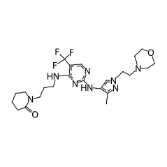 Cc1nn(CCN2CCOCC2)cc1Nc1ncc(C(F)(F)F)c(NCCCN2CCCCC2=O)n1